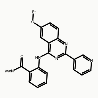 CCOc1ccc2nc(-c3cccnc3)nc(Nc3ccccc3C(=O)NC)c2c1